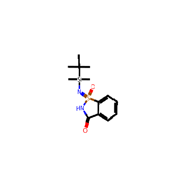 CC(C)(C)[Si](C)(C)N=S1(=O)NC(=O)c2ccccc21